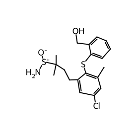 Cc1cc(Cl)cc(CCC(C)(C)[S+](N)[O-])c1Sc1ccccc1CO